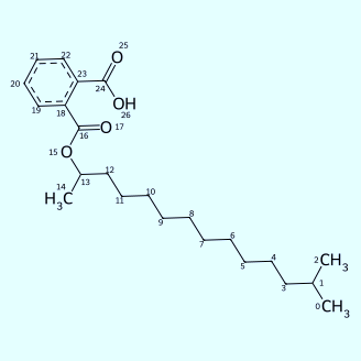 CC(C)CCCCCCCCCCC(C)OC(=O)c1ccccc1C(=O)O